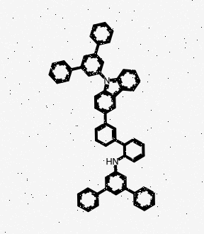 C1=CC(Nc2cc(-c3ccccc3)cc(-c3ccccc3)c2)C(C2=CC(c3ccc4c(c3)c3ccccc3n4-c3cc(-c4ccccc4)cc(-c4ccccc4)c3)=CCC2)C=C1